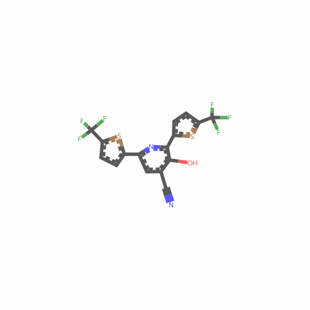 N#Cc1cc(-c2ccc(C(F)(F)F)s2)nc(-c2ccc(C(F)(F)F)s2)c1O